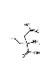 NC(CS)(CC(=O)O)C(=O)O